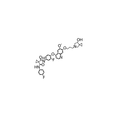 COc1cc2c(Oc3ccc(NC(=O)C4(C(=O)Nc5ccc(F)cc5)CC4)cc3F)ccnc2cc1OCCCN1CC(O)C2(CC2)C1